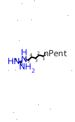 CCCCCCCCCCNC(=N)N